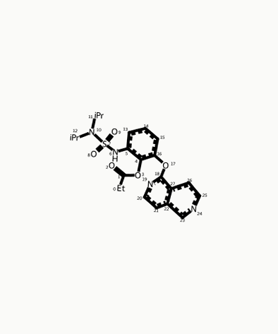 CCC(=O)Oc1c(NS(=O)(=O)N(C(C)C)C(C)C)cccc1Oc1nccc2cnccc12